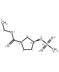 CCOC(=O)N1CC[C@H](OS(C)(=O)=O)C1